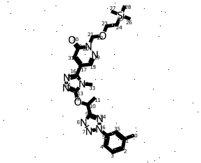 Cc1cccc(-n2nnc(C(C)Oc3nnc(-c4cnn(COCC[Si](C)(C)C)c(=O)c4)n3C)n2)c1